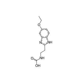 CCOc1ccc2[nH]c(CCNC(=O)O)nc2c1